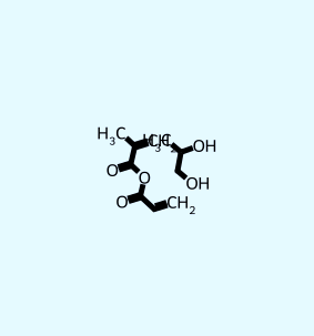 C=CC(=O)OC(=O)C(=C)C.CC(O)CO